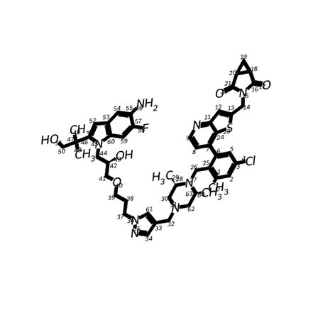 Cc1cc(Cl)cc(-c2ccnc3cc(CN4C(=O)C5CC5C4=O)sc23)c1CN1[C@@H](C)CN(Cc2cnn(CCCOC[C@H](O)Cn3c(C(C)(C)CO)cc4cc(N)c(F)cc43)c2)C[C@@H]1C